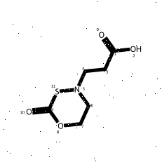 O=C(O)CCN1CCOC(=O)S1